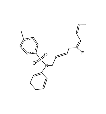 C/C=C\C=C(\F)C/C=C/CN(C1=CCCC=C1)S(=O)(=O)c1ccc(C)cc1